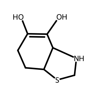 OC1=C(O)C2NCSC2CC1